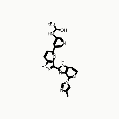 Cc1cn(-c2nccc3[nH]c(-c4n[nH]c5ccc(-c6cncc(NC(O)C(C)(C)C)c6)nc45)nc23)cn1